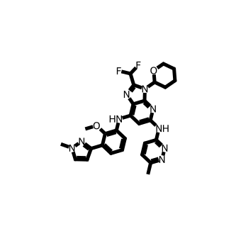 COc1c(Nc2cc(Nc3ccc(C)nn3)nc3c2nc(C(F)F)n3C2CCCCO2)cccc1-c1ccn(C)n1